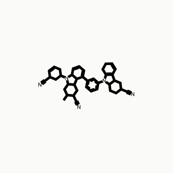 CC1CC2C(CC1C#N)C1C(c3cccc(N4C5=C(C=CCC5)C5CC(C#N)CCC54)c3)=CC=CC1N2C1CC=CC(C#N)C1